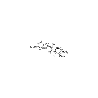 COc1ccc2[nH]c([S+]([O-])C3CCCc4c3ncc(C)c4OC)nc2c1